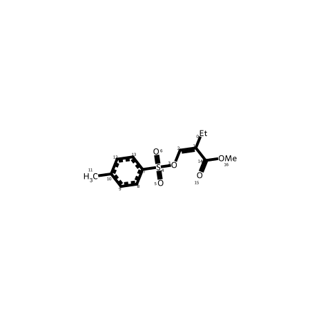 CC/C(=C/OS(=O)(=O)c1ccc(C)cc1)C(=O)OC